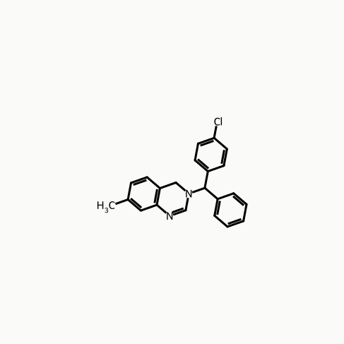 Cc1ccc2c(c1)N=CN(C(c1ccccc1)c1ccc(Cl)cc1)C2